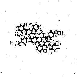 COc1ccc(N(c2cc(-c3ccccc3C)cc(-c3ccccc3C)c2)c2ccc3ccc4c(N(c5ccc(OC)cc5)c5cc(-c6ccccc6C)cc(-c6ccccc6C)c5)ccc5ccc2c3c54)cc1